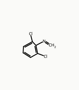 C=Nc1c(Cl)cccc1Cl